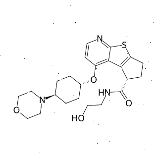 O=C(NCCO)[C@H]1CCc2sc3nccc(O[C@H]4CC[C@H](N5CCOCC5)CC4)c3c21